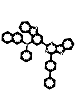 c1ccc(-c2ccc(-c3nc(-c4cc(N(c5ccccc5)c5ccc6ccccc6c5)c5c(c4)oc4ccccc45)nc4c3oc3ccccc34)cc2)cc1